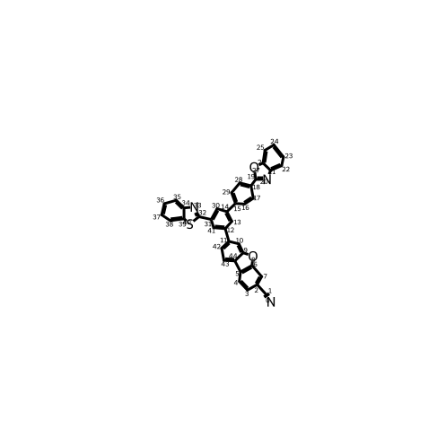 N#Cc1ccc2c(c1)oc1cc(-c3cc(-c4ccc(-c5nc6ccccc6o5)cc4)cc(-c4nc5ccccc5s4)c3)ccc12